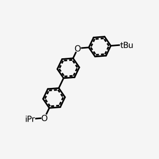 CC(C)Oc1ccc(-c2ccc(Oc3ccc(C(C)(C)C)cc3)cc2)cc1